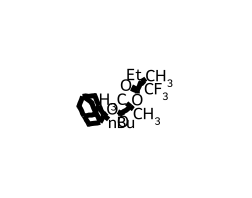 CCCCC1(OC(=O)C(C)(C)OC(=O)C(C)(CC)C(F)(F)F)C2CC3CC(C2)CC1C3